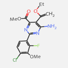 C=C(OCC)c1c(N)nc(-c2ccc(Cl)c(OC)c2F)nc1C(=O)OC